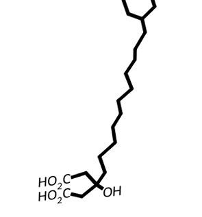 O=C(O)CC(O)(CCCCCCCCCCCC1CCCCC1)CC(=O)O